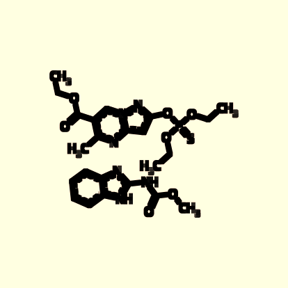 CCOC(=O)c1cn2nc(OP(=S)(OCC)OCC)cc2nc1C.COC(=O)Nc1nc2ccccc2[nH]1